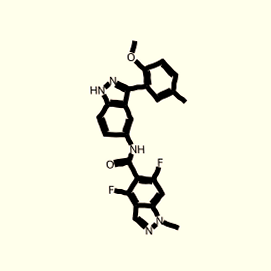 COc1ccc(C)cc1-c1n[nH]c2ccc(NC(=O)c3c(F)cc4c(cnn4C)c3F)cc12